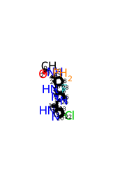 CC(=O)NCC1(P)CCC[C@@H](Nc2nc(-c3c[nH]c4ncc(Cl)cc34)ncc2F)C1